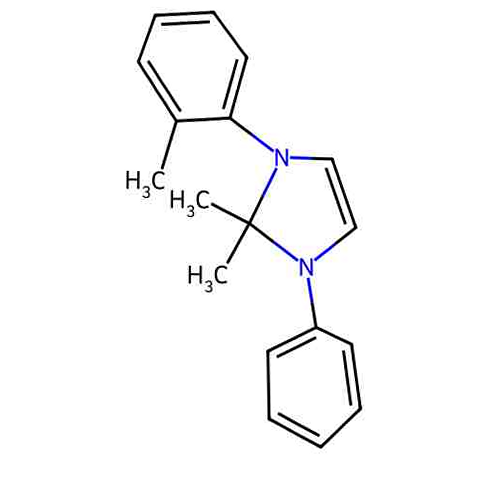 Cc1ccccc1N1C=CN(c2ccccc2)C1(C)C